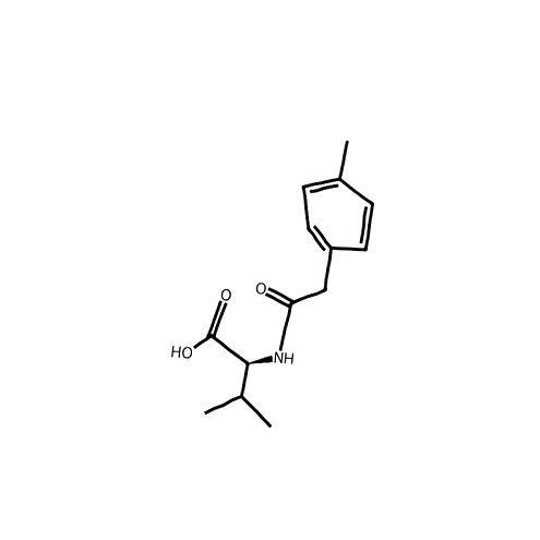 Cc1ccc(CC(=O)N[C@H](C(=O)O)C(C)C)cc1